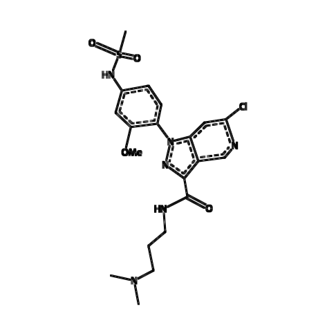 COc1cc(NS(C)(=O)=O)ccc1-n1nc(C(=O)NCCCN(C)C)c2cnc(Cl)cc21